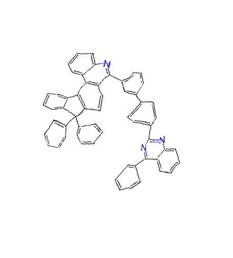 c1ccc(-c2nc(-c3ccc(-c4cccc(-c5nc6ccccc6c6c7c(ccc56)C(c5ccccc5)(c5ccccc5)c5ccccc5-7)c4)cc3)nc3ccccc23)cc1